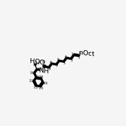 CCCCCCCCC=CCCCCCCCC(=O)N[C@H](CO)Cc1ccccc1